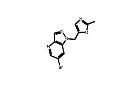 Cc1ncc(Cn2ncc3ncc(Br)cc32)o1